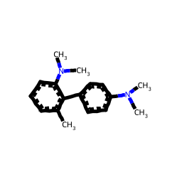 Cc1[c]ccc(N(C)C)c1-c1ccc(N(C)C)cc1